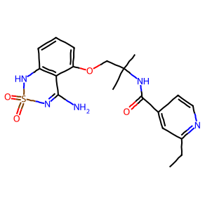 CCc1cc(C(=O)NC(C)(C)COc2cccc3c2C(N)=NS(=O)(=O)N3)ccn1